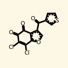 O=C1C(=O)c2c(C(=O)c3ccsc3)coc2C(Cl)=C1Cl